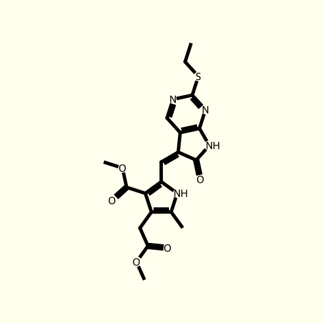 CCSc1ncc2c(n1)NC(=O)C2=Cc1[nH]c(C)c(CC(=O)OC)c1C(=O)OC